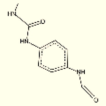 CNC(=O)Nc1ccc(NC=O)cc1